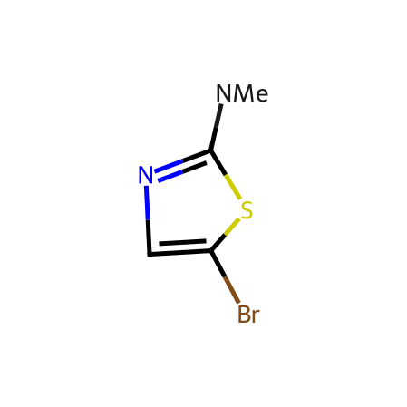 CNc1ncc(Br)s1